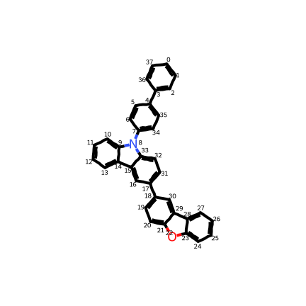 c1ccc(-c2ccc(-n3c4ccccc4c4cc(-c5ccc6oc7ccccc7c6c5)ccc43)cc2)cc1